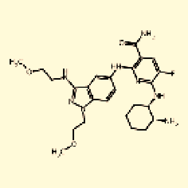 COCCNc1nn(CCOC)c2ccc(Nc3nc(N[C@@H]4CCCC[C@@H]4N)c(F)cc3C(N)=O)cc12